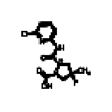 CC1(F)C[C@H](C(=O)Nc2cccc(Cl)n2)N(C(=O)O)C1